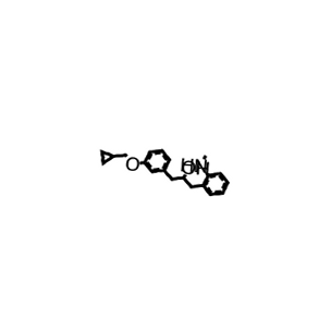 CNc1ccccc1CC(O)Cc1cccc(OCC2CC2)c1